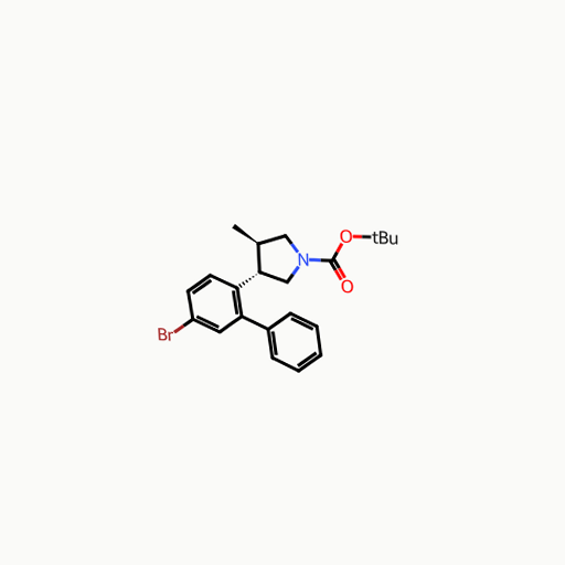 C[C@H]1CN(C(=O)OC(C)(C)C)C[C@@H]1c1ccc(Br)cc1-c1ccccc1